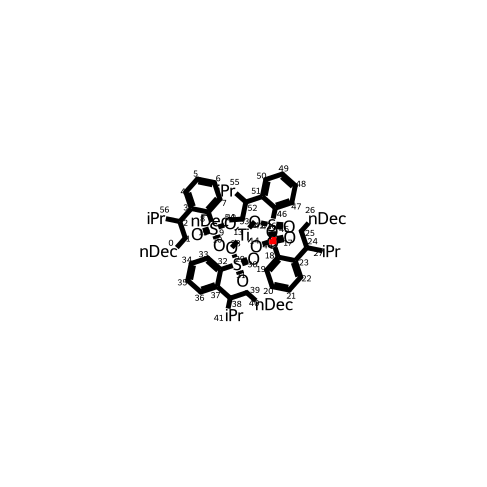 CCCCCCCCCCCC(c1ccccc1S(=O)(=O)[O][Ti]([O]S(=O)(=O)c1ccccc1C(CCCCCCCCCCC)C(C)C)([O]S(=O)(=O)c1ccccc1C(CCCCCCCCCCC)C(C)C)[O]S(=O)(=O)c1ccccc1C(CCCCCCCCCCC)C(C)C)C(C)C